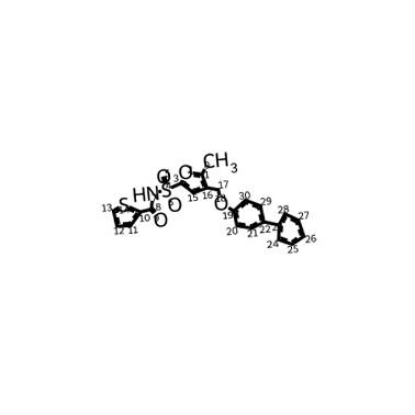 Cc1oc(S(=O)(=O)NC(=O)c2cccs2)cc1COc1ccc(-c2ccccc2)cc1